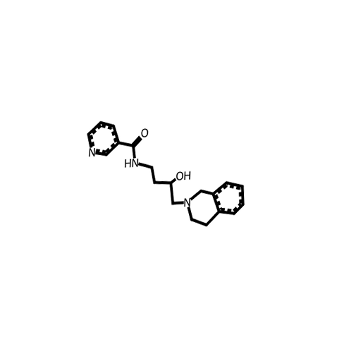 O=C(NCCC(O)CN1CCc2ccccc2C1)c1cccnc1